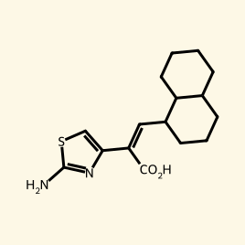 Nc1nc(/C(=C/C2CCCC3CCCCC23)C(=O)O)cs1